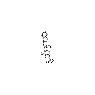 O=C1c2ccc(N3CCCC3=O)cc2CCN1CC(O)CN1CCc2ccccc2C1